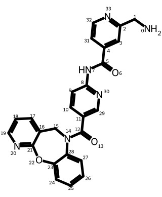 NCc1cc(C(=O)Nc2ccc(C(=O)N3Cc4cccnc4Oc4ccccc43)cn2)ccn1